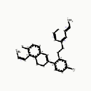 C\C=C/C(=C\C=C\N)CCc1cc(CC)ccc1C1=Cc2ccc(C)c(/C=C\C(C)(C)C)c2CC1